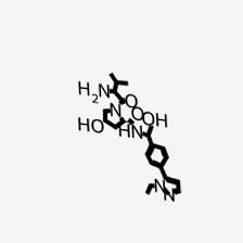 CCn1nccc1-c1ccc(C(CO)NC(=O)[C@@H]2C[C@@H](O)CN2C(=O)C(N)C(C)C)cc1